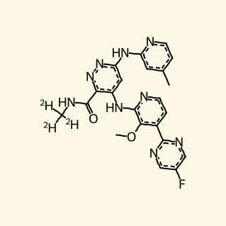 [2H]C([2H])([2H])NC(=O)c1nnc(Nc2cc(C)ccn2)cc1Nc1nccc(-c2ncc(F)cn2)c1OC